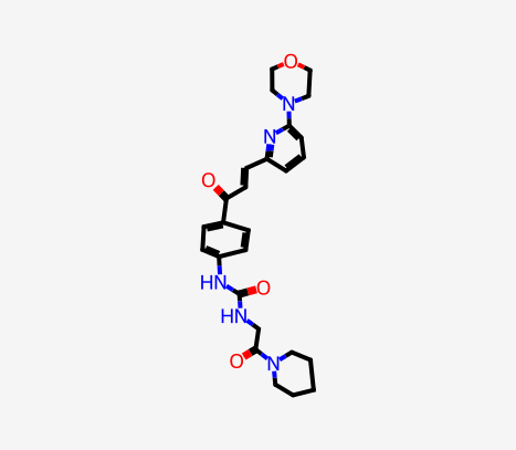 O=C(NCC(=O)N1CCCCC1)Nc1ccc(C(=O)C=Cc2cccc(N3CCOCC3)n2)cc1